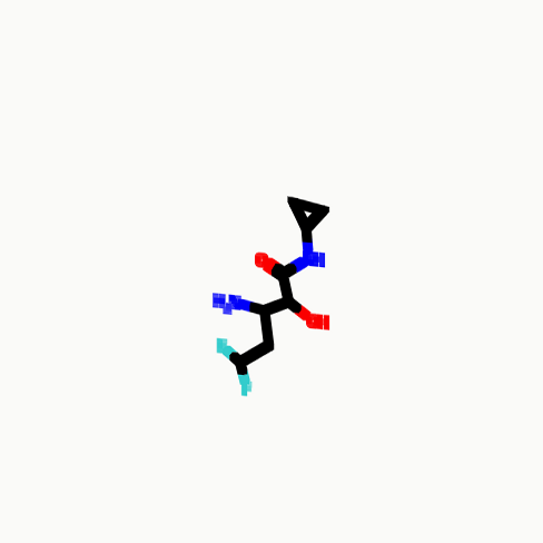 NC(CC(F)F)C(O)C(=O)NC1CC1